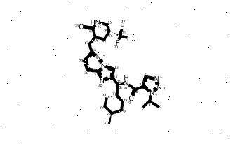 CC(C)n1nncc1C(=O)N[C@H](c1cn2nc(CC3C[C@@H](C(F)(F)F)CNC3=O)ccc2n1)[C@H]1CC[C@H](C)CC1